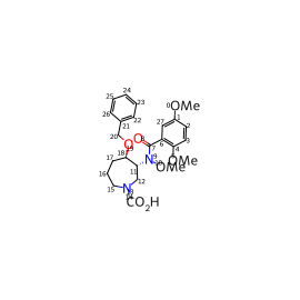 COc1ccc(OC)c(C(=O)N(OC)[C@@H]2CN(C(=O)O)CCC[C@H]2OCc2ccccc2)c1